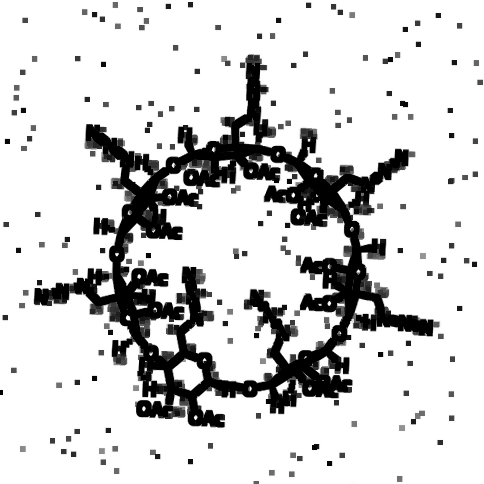 CC(=O)OC1[C@@H]2OC(CN=[N+]=[N-])[C@@H](O[C@H]3OC(CN=[N+]=[N-])[C@@H](O[C@H]4CC(CN=[N+]=[N-])[C@@H](O[C@H]5OC(CN=[N+]=[N-])[C@@H](O[C@@H]6OC(CN=[N+]=[N-])[C@@H](O[C@@H]7OC(CN=[N+]=[N-])[C@@H](O[C@@H]8OC(CN=[N+]=[N-])[C@@H](O2)[C@H](OC(C)=O)C8OC(C)=O)[C@@H](OC(C)=O)C7OC(C)=O)[C@@H](OC(C)=O)C6OC(C)=O)[C@H](OC(C)=O)C5OC(C)=O)[C@H](OC(C)=O)C4OC(C)=O)[C@H](OC(C)=O)C3OC(C)=O)[C@@H]1OC(C)=O